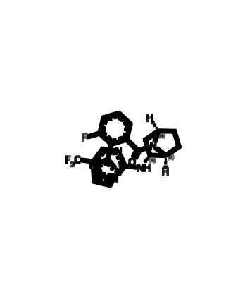 O=C(c1cccc(F)c1-c1ncco1)N1[C@@H]2CC[C@H]1[C@H](Nc1ncc(C(F)(F)F)cn1)C2